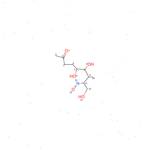 CC(=O)CCC(O)C(O)C(C)C(CO)N=O